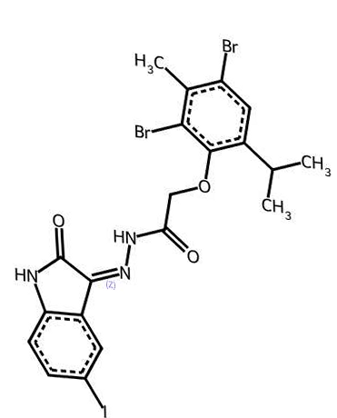 Cc1c(Br)cc(C(C)C)c(OCC(=O)N/N=C2\C(=O)Nc3ccc(I)cc32)c1Br